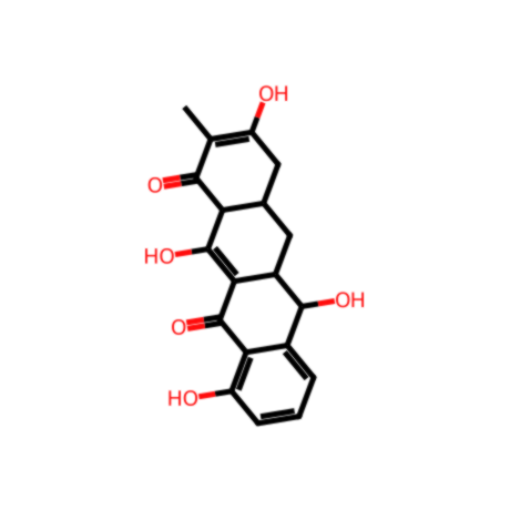 CC1=C(O)CC2CC3C(=C(O)C2C1=O)C(=O)c1c(O)cccc1C3O